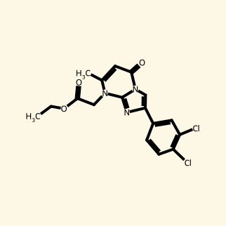 CCOC(=O)Cn1c(C)cc(=O)n2cc(-c3ccc(Cl)c(Cl)c3)nc12